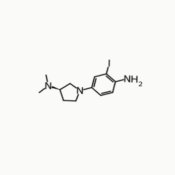 CN(C)[C@@H]1CCN(c2ccc(N)c(I)c2)C1